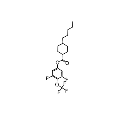 CCCCC[C@H]1CC[C@H](C(=O)Oc2cc(F)c(OC(F)(F)F)c(F)c2)CC1